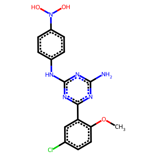 COc1ccc(Cl)cc1-c1nc(N)nc(Nc2ccc(N(O)O)cc2)n1